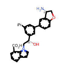 CC(C)c1cc(-c2ccc3c(c2)[C@H](N)CO3)cc([C@H](O)Cn2ccc3cccc(C(=O)O)c32)c1